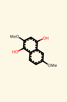 COc1ccc2c(O)c(OC)cc(O)c2c1